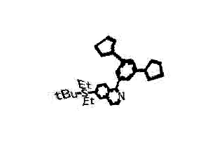 CCS(CC)(c1ccc2c(-c3cc(C4CCCC4)cc(C4CCCC4)c3)nccc2c1)C(C)(C)C